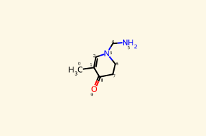 CC1=CN(CN)CCC1=O